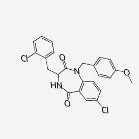 COc1ccc(CN2C(=O)C(Cc3ccccc3Cl)NC(=O)c3cc(Cl)ccc32)cc1